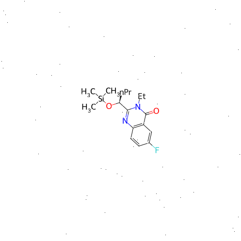 CCC[C@H](O[Si](C)(C)C)c1nc2ccc(F)cc2c(=O)n1CC